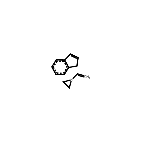 C1=Cc2ccccc2C1.C=CN1CC1